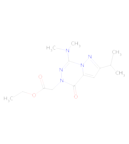 CCOC(=O)Cn1nc(N(C)C)n2nc(C(C)C)cc2c1=O